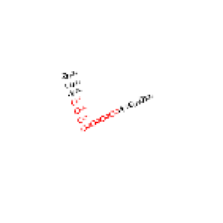 [Al+3].[Al+3].[Cu+2].[Cu+2].[O-2].[O-2].[O-2].[O-2].[O-2].[O-2].[O-2].[Zn+2].[Zn+2]